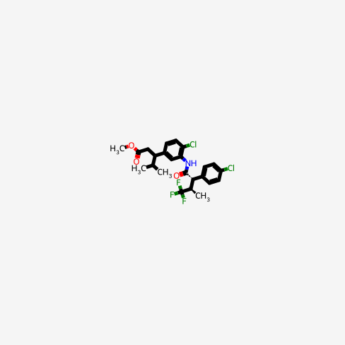 COC(=O)CC(c1ccc(Cl)c(NC(=O)[C@H](c2ccc(Cl)cc2)[C@@H](C)C(F)(F)F)c1)C(C)C